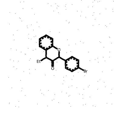 CCC1C(=O)C(c2ccc(Br)cc2)Oc2ccccc21